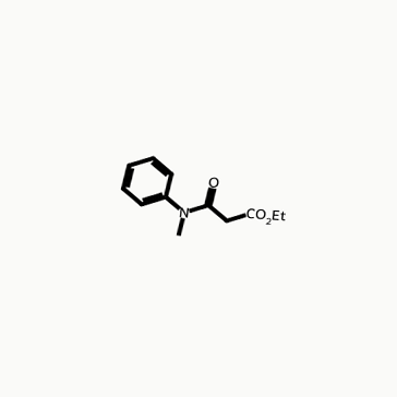 CCOC(=O)CC(=O)N(C)c1ccccc1